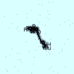 CC(C)(C)OC(=O)NC1CCN(CCCCCCCC(=O)Nc2cccc3c2C(=O)N(C2CCC(=O)NC2=O)C3=O)CC1